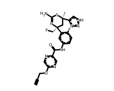 C#CCOc1cnc(C(=O)Nc2ccc(F)c([C@]3(CF)C[C@](C)(c4c[nH]nn4)SC(N)=N3)c2)cn1